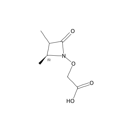 CC1C(=O)N(OCC(=O)O)[C@H]1C